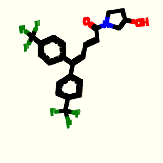 O=C(/C=C/C=C(c1ccc(C(F)(F)F)cc1)c1ccc(C(F)(F)F)cc1)N1CCC(O)C1